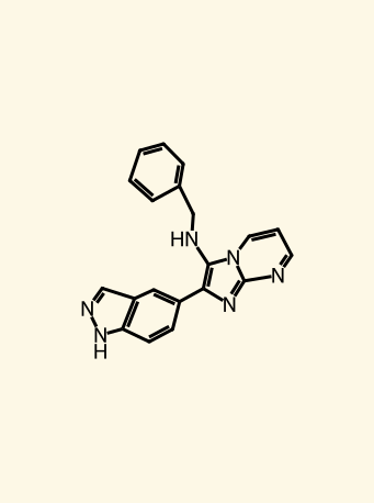 c1ccc(CNc2c(-c3ccc4[nH]ncc4c3)nc3ncccn23)cc1